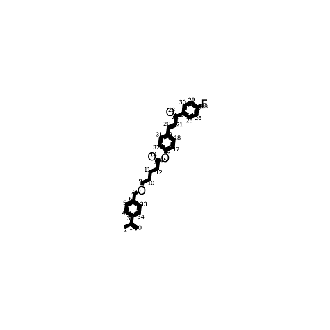 C=C(C)c1ccc(COCCCCC(=O)Oc2ccc(C=CC(=O)c3ccc(F)cc3)cc2)cc1